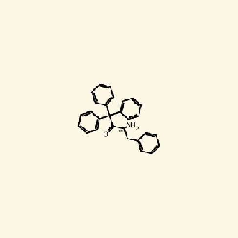 N[C@@H](Cc1ccccc1)C(=O)C(c1ccccc1)(c1ccccc1)c1ccccc1